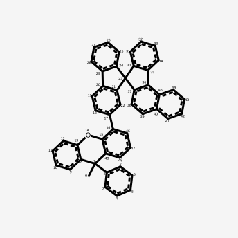 CC1(c2ccccc2)c2ccccc2Oc2c(-c3ccc4c(c3)C3(c5ccccc5-4)c4ccccc4-c4c3ccc3ccccc43)cccc21